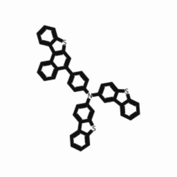 c1ccc2c(c1)sc1cc(N(c3ccc(-c4cc5sc6ccccc6c5c5ccccc45)cc3)c3ccc4sc5ccccc5c4c3)ccc12